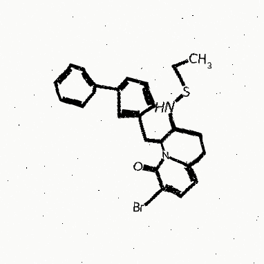 CCSNC1CCc2ccc(Br)c(=O)n2C1Cc1cccc(-c2ccccc2)c1